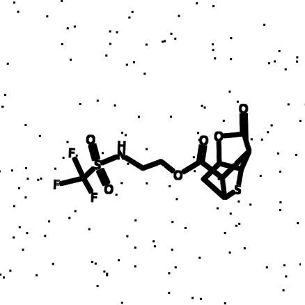 O=C(OCCNS(=O)(=O)C(F)(F)F)C1C2CC3OC(=O)C1C3S2